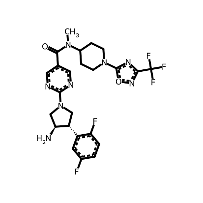 CN(C(=O)c1cnc(N2C[C@H](c3cc(F)ccc3F)[C@@H](N)C2)nc1)C1CCN(c2nc(C(F)(F)F)no2)CC1